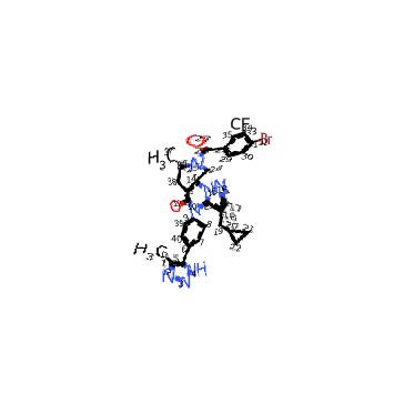 Cc1nn[nH]c1-c1ccc(-n2c(=O)c3c(n4ncc(CC5CC5)c24)CN(C(=O)c2ccc(Br)c(C(F)(F)F)c2)[C@@H](C)C3)cc1